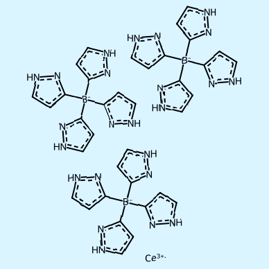 [Ce+3].c1cc([B-](c2cc[nH]n2)(c2cc[nH]n2)c2cc[nH]n2)n[nH]1.c1cc([B-](c2cc[nH]n2)(c2cc[nH]n2)c2cc[nH]n2)n[nH]1.c1cc([B-](c2cc[nH]n2)(c2cc[nH]n2)c2cc[nH]n2)n[nH]1